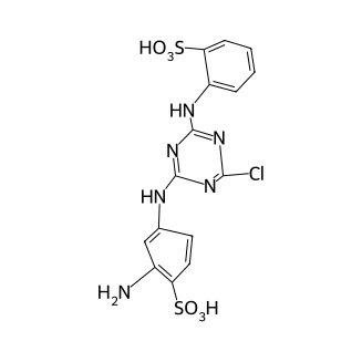 Nc1cc(Nc2nc(Cl)nc(Nc3ccccc3S(=O)(=O)O)n2)ccc1S(=O)(=O)O